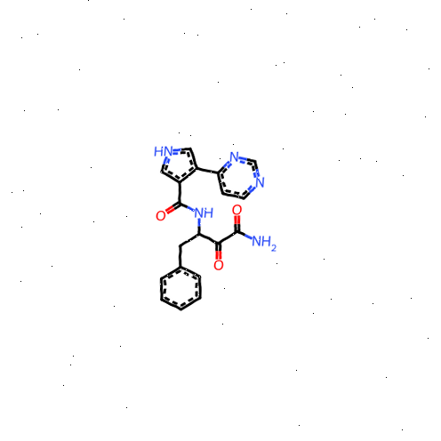 NC(=O)C(=O)C(Cc1ccccc1)NC(=O)c1c[nH]cc1-c1ccncn1